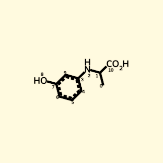 CC(Nc1cccc(O)c1)C(=O)O